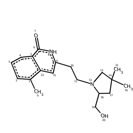 Cc1cccc2c(=O)[nH]c(CCN3CC(C)(C)CC3CO)cc12